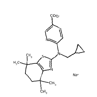 CC1(C)CCC(C)(C)c2sc(N(CC3CC3)c3ccc(C(=O)[O-])cn3)nc21.[Na+]